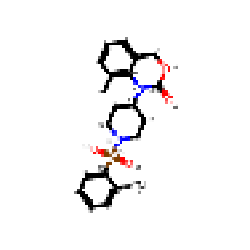 Cc1cccc2c1N(C1CCN(S(=O)(=O)c3ccccc3C#N)CC1)C(=O)OC2